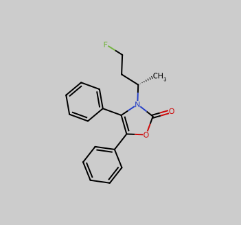 C[C@@H](CCF)n1c(-c2ccccc2)c(-c2ccccc2)oc1=O